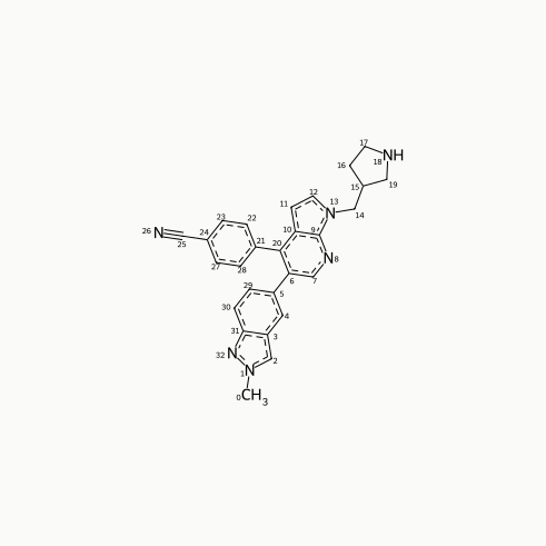 Cn1cc2cc(-c3cnc4c(ccn4CC4CCNC4)c3-c3ccc(C#N)cc3)ccc2n1